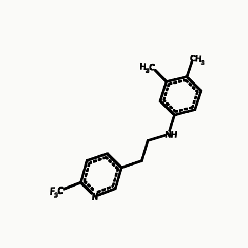 Cc1ccc(NCCc2ccc(C(F)(F)F)nc2)cc1C